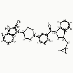 O=C(c1cc(N2CCC(n3c(=O)[nH]c4ncccc43)CC2)ncn1)N1CC(CC2CC2)c2ccccc21